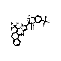 O=C(Nc1cc(C(F)(F)F)ccc1Cl)c1cc2nc3c(c(C(F)(F)F)n2n1)CCc1ccccc1-3